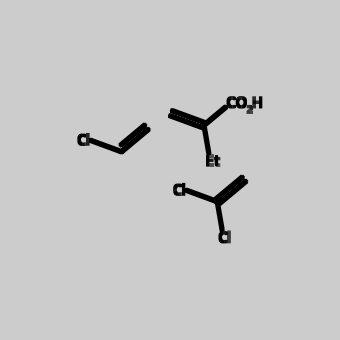 C=C(CC)C(=O)O.C=C(Cl)Cl.C=CCl